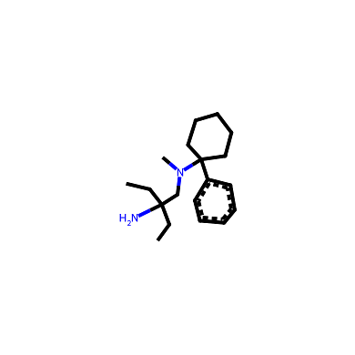 CCC(N)(CC)CN(C)C1(c2ccccc2)CCCCC1